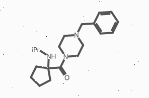 CC(C)NC1(C(=O)N2CCN(Cc3ccccc3)CC2)CCCC1